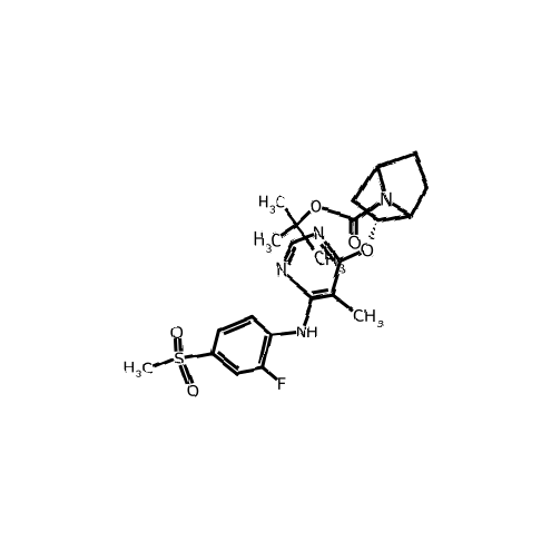 Cc1c(Nc2ccc(S(C)(=O)=O)cc2F)ncnc1O[C@@H]1CC2CCC1N2C(=O)OC(C)(C)C